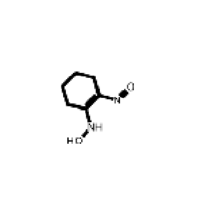 O=NC1=C(NO)CCCC1